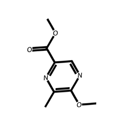 COC(=O)c1cnc(OC)c(C)n1